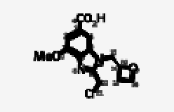 COc1cc(C(=O)O)cc2c1nc(CCl)n2C[C@@H]1CCO1